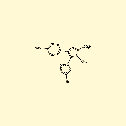 COc1ccc(-n2nc(C(=O)O)c(C)c2-c2cc(Br)cs2)cc1